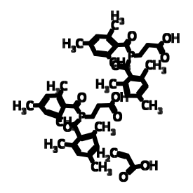 C=CC(=O)O.Cc1cc(C)c(C(=O)P(CCC(=O)O)C(=O)c2c(C)cc(C)cc2C)c(C)c1.Cc1cc(C)c(C(=O)P(CCC(=O)O)C(=O)c2c(C)cc(C)cc2C)c(C)c1